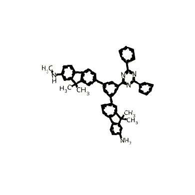 CNc1ccc2c(c1)C(C)(C)c1cc(-c3cc(-c4ccc5c(c4)C(C)(C)c4cc(N)ccc4-5)cc(-c4nc(-c5ccccc5)nc(-c5ccccc5)n4)c3)ccc1-2